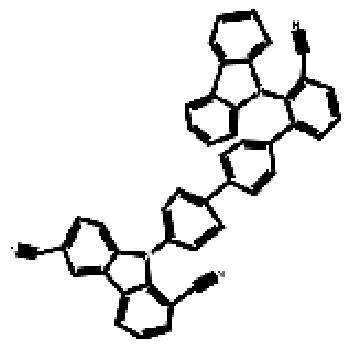 N#Cc1ccc2c(c1)c1cccc(C#N)c1n2-c1ccc(-c2ccc(-c3cccc(C#N)c3-n3c4ccccc4c4ccccc43)cc2)cc1